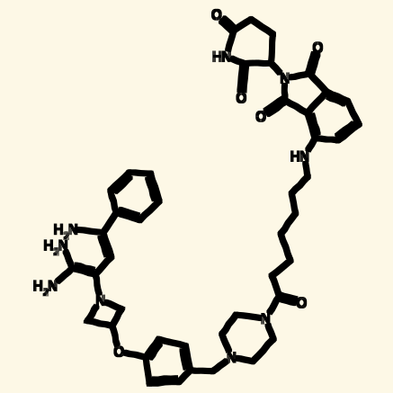 NC(N)=C(/C=C(\N)c1ccccc1)N1CC(Oc2ccc(CN3CCN(C(=O)CCCCCCNc4cccc5c4C(=O)N(C4CCC(=O)NC4=O)C5=O)CC3)cc2)C1